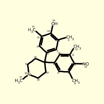 Cc1cc(C2(c3cc(C)c(N=O)c(C)c3)CCN(C)CC2)cc(C)c1O